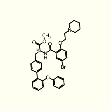 COC(=O)[C@H](Cc1ccc(-c2ccccc2Oc2ccccc2)cc1)NC(=O)c1cc(Br)ccc1OCCN1CCCCC1